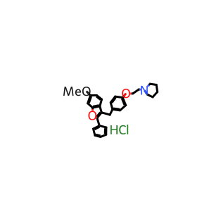 COc1ccc2c(Cc3ccc(OCCN4CCCCC4)cc3)c(-c3ccccc3)oc2c1.Cl